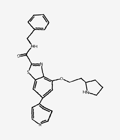 O=C(NCc1ccccc1)c1nc2c(OCCC3CCCN3)cc(-c3ccncc3)cc2s1